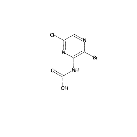 O=C(O)Nc1nc(Cl)cnc1Br